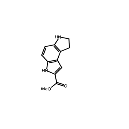 COC(=O)c1cc2c3c(ccc2[nH]1)NCC3